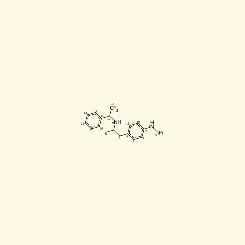 CC(C)Nc1ccc(CC(C)NC(c2ccccc2)C(F)(F)F)cc1